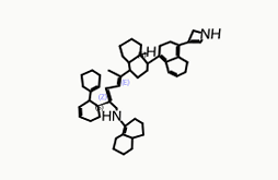 C/C(=C\C=C(/CNC1=C2CCCCC2CCC1)[C@H]1CCC=CC1C1=CCCCC1)C1CCC(C2=C3C=CCCC3=C(C3=CNC3)CC2)[C@H]2CCCCC12